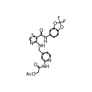 CC(=O)OCC(=O)Nc1cc(CNc2ncsc2C(=O)Nc2ccc3c(c2)OC(F)(F)O3)ccn1